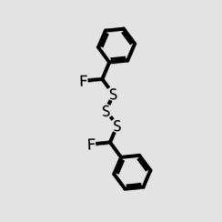 FC(SSSC(F)c1ccccc1)c1ccccc1